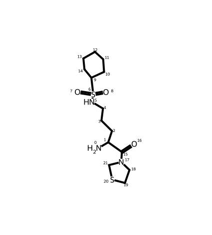 NC(CCCNS(=O)(=O)C1CCCCC1)C(=O)N1CCSC1